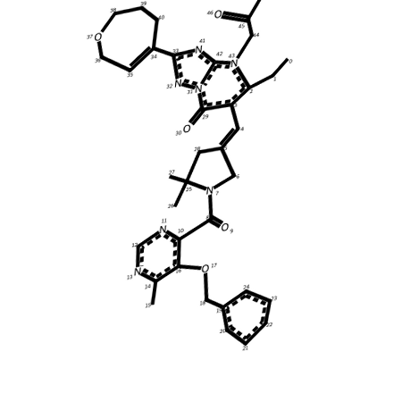 CCc1c(C=C2CN(C(=O)c3ncnc(C)c3OCc3ccccc3)C(C)(C)C2)c(=O)n2nc(C3=CCOCCC3)nc2n1CC(=O)O